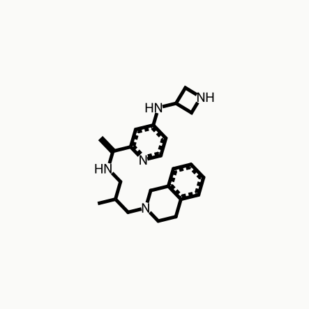 C=C(NCC(C)CN1CCc2ccccc2C1)c1cc(NC2CNC2)ccn1